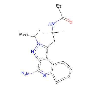 CCC(=O)NC(C)(C)Cc1c2c(nn1C(C)OC)c(N)nc1ccccc12